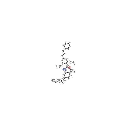 Cc1cc(CCCc2ccccc2)cc(C)c1C(=O)Nc1cc([C@H]2C[C@H]2C(=O)O)ccc1C(F)(F)F